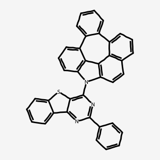 c1ccc(-c2nc(-n3c4cccc5c4c4c6c(cccc6ccc43)-c3ccccc3-5)c3sc4ccccc4c3n2)cc1